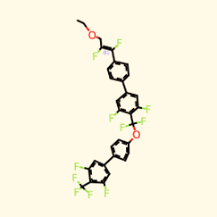 CCOC/C(F)=C(\F)c1ccc(-c2cc(F)c(C(F)(F)Oc3ccc(-c4cc(F)c(C(F)(F)F)c(F)c4)cc3)c(F)c2)cc1